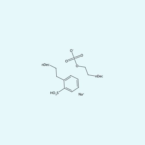 CCCCCCCCCCCCOS(=O)(=O)[O-].CCCCCCCCCCCCc1ccccc1S(=O)(=O)O.[Na+]